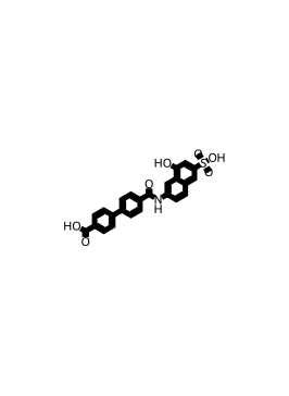 O=C(O)c1ccc(-c2ccc(C(=O)Nc3ccc4cc(S(=O)(=O)O)cc(O)c4c3)cc2)cc1